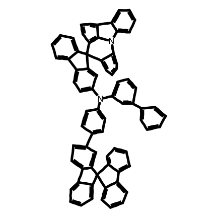 c1ccc(-c2cccc(N(c3ccc(-c4ccc5c(c4)C4(c6ccccc6-c6ccccc64)c4ccccc4-5)cc3)c3ccc4c(c3)C3(c5ccccc5-4)c4ccccc4-n4c5ccccc5c5cccc3c54)c2)cc1